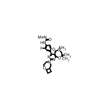 CNC(=O)Nc1ccc(-c2nc(N3CCOC4CCC4C3)nc3c2C(=O)N(C)CC(C)(C)O3)cc1F